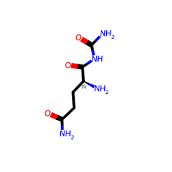 NC(=O)CC[C@H](N)C(=O)NC(N)=O